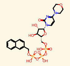 O=c1nc(N2CCOCC2)ccn1[C@@H]1O[C@H](COP(=O)(O)OP(=O)(O)OP(=O)(O)OCc2ccc3ccccc3c2)C(O)[C@@H]1O